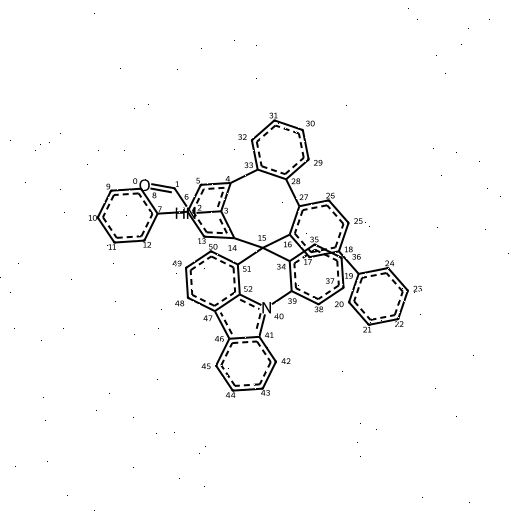 O=CNc1c2cc(-c3ccccc3)cc1C1(c3cc(-c4ccccc4)ccc3-c3ccccc3-2)c2ccccc2-n2c3ccccc3c3cccc1c32